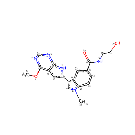 COc1ncnc2[nH]c(-c3cn(C)c4ccc(C(=O)NCCO)cc34)cc12